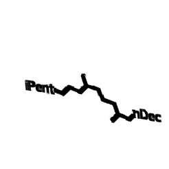 CCCCCCCCCCCC(C)CCCC(C)CCCC(C)CCC